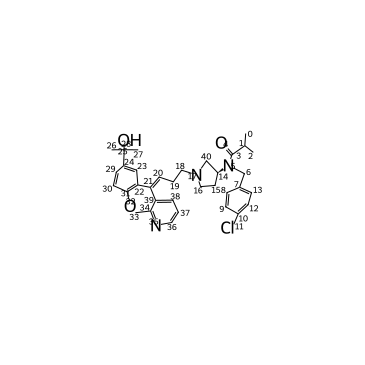 CC(C)C(=O)N(Cc1ccc(Cl)cc1)[C@H]1CCN(CC/C=C2/c3cc(C(C)(C)O)ccc3OCc3ncccc32)C1